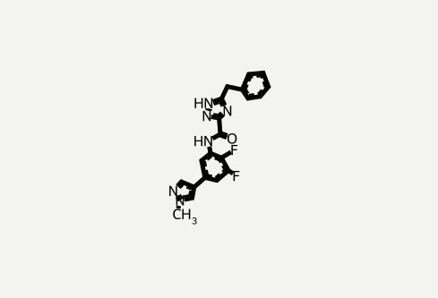 Cn1cc(-c2cc(F)c(F)c(NC(=O)c3n[nH]c(Cc4ccccc4)n3)c2)cn1